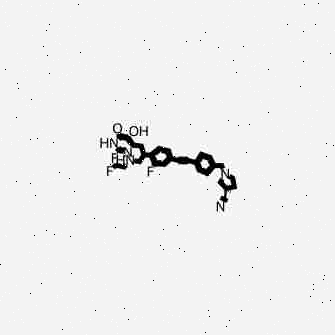 N#C[C@@H]1CCN(Cc2ccc(C#Cc3ccc(C(CNCC(F)F)Cc4nc[nH]c(=O)c4O)c(F)c3)cc2)C1